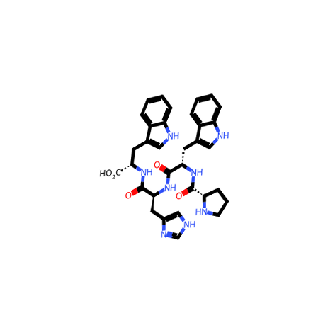 O=C(O)[C@H](Cc1c[nH]c2ccccc12)NC(=O)[C@H](Cc1c[nH]cn1)NC(=O)[C@H](Cc1c[nH]c2ccccc12)NC(=O)[C@@H]1CCCN1